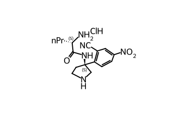 CCC[C@H](N)C(=O)N[C@]1(c2ccc([N+](=O)[O-])cc2C#N)CCNC1.Cl